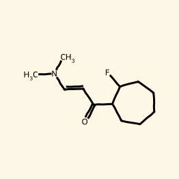 CN(C)/C=C/C(=O)C1CCCCCC1F